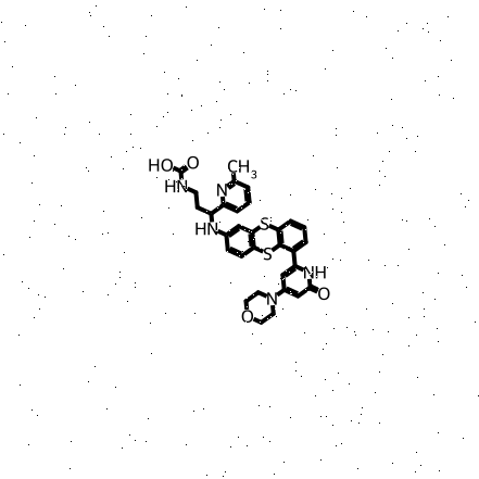 Cc1cccc(C(CCNC(=O)O)Nc2ccc3c(c2)Sc2cccc(-c4cc(N5CCOCC5)cc(=O)[nH]4)c2S3)n1